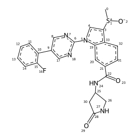 C[S+]([O-])c1cn(-c2ncc(-c3ccccc3F)cn2)c2cc(C(=O)NC3CNC(=O)C3)ccc12